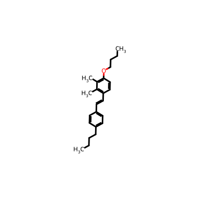 CCCCOc1ccc(C=Cc2ccc(CCCC)cc2)c(C)c1C